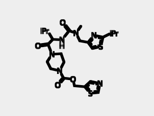 CC(C)c1nc(CN(C)C(=O)NC(C(=O)N2CCN(C(=O)OCc3cncs3)CC2)C(C)C)cs1